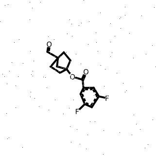 O=CC12CCC(OC(=O)c3cc(F)cc(F)c3)(CC1)C2